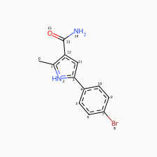 Cc1[nH]c(-c2ccc(Br)cc2)cc1C(N)=O